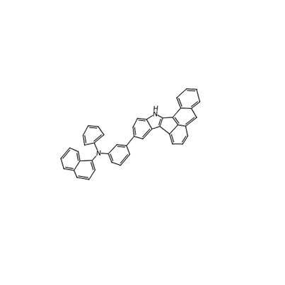 c1ccc(N(c2cccc(-c3ccc4[nH]c5c(c4c3)-c3cccc4cc6ccccc6c-5c34)c2)c2cccc3ccccc23)cc1